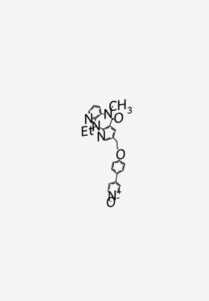 CCN1c2ncc(CCOc3ccc(-c4cc[n+]([O-])cc4)cc3)cc2C(=O)N(C)c2cccnc21